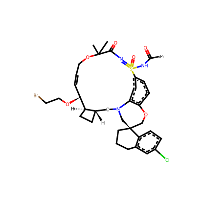 CC(C)C(=O)NS1(=O)=NC(=O)C(C)(C)OCC=C[C@H](OCCBr)[C@@H]2CC[C@H]2CN2C[C@@]3(CCCc4cc(Cl)ccc43)COc3ccc1cc32